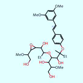 CCC(OC(C(O)C(CO)OC)C(O)C(C)(CC)Oc1ccc(/C=C/c2cc(OC)cc(OC)c2)cc1)C(O)C1OC1C(CO)OC